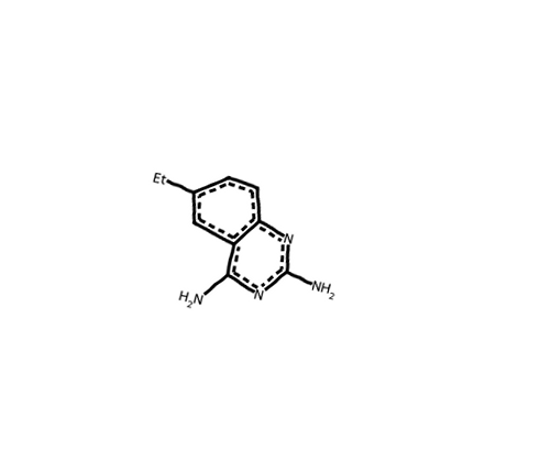 [CH2]Cc1ccc2nc(N)nc(N)c2c1